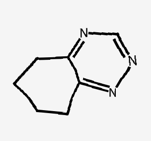 c1nnc2c(n1)CCCC2